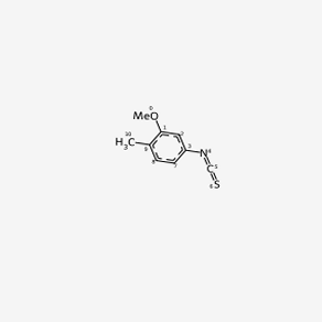 COc1cc(N=C=S)ccc1C